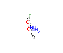 NC(CCCc1ccccc1)C(=O)Nc1ccc(Oc2ccc(F)cc2)cc1